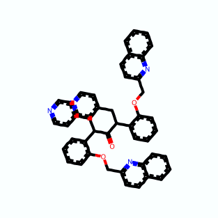 O=C(C(Cc1ccncc1)c1ccccc1OCc1ccc2ccccc2n1)C(Cc1ccncc1)c1ccccc1OCc1ccc2ccccc2n1